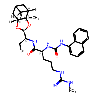 CC(C)C[C@H](NC(=O)[C@H](CCCNC(=N)N[N+](=O)[O-])NC(=O)Nc1cccc2ccccc12)B1O[C@@H]2CC3C[C@@H](C3(C)C)[C@]2(C)O1